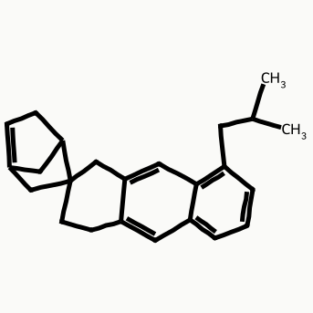 CC(C)Cc1cccc2cc3c(cc12)CC1(CC3)CC2=CCC1C2